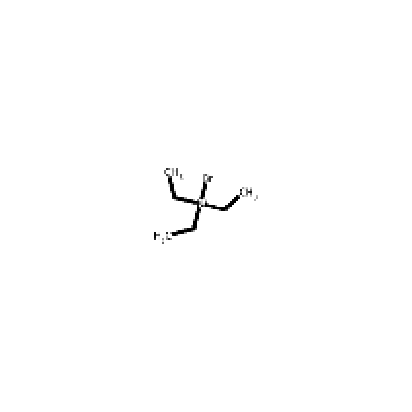 CC[N+](Br)(CC)CC